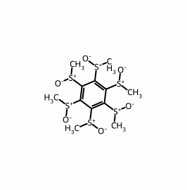 C[S+]([O-])c1c([S+](C)[O-])c([S+](C)[O-])c([S+](C)[O-])c([S+](C)[O-])c1[S+](C)[O-]